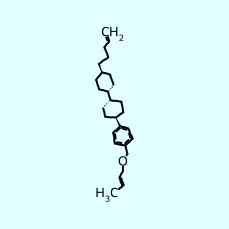 C=CCCC[C@H]1CC[C@H]([C@H]2CC[C@H](c3ccc(COCC=CC)cc3)CC2)CC1